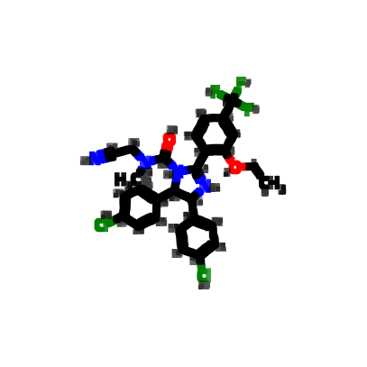 CCOc1cc(C(F)(F)F)ccc1C1=NC(c2ccc(Cl)cc2)C(c2ccc(Cl)cc2)N1C(=O)N(C)CC#N